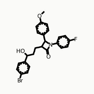 COc1ccc(C2C(CCC(O)c3ccc(Br)cc3)C(=O)N2c2ccc(F)cc2)cc1